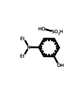 CCN(CC)c1cccc(O)c1.O=S(=O)(O)O